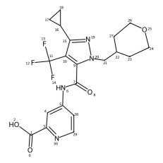 O=C(O)c1cc(NC(=O)c2c(C(F)(F)F)c(C3CC3)nn2CC2CCOCC2)ccn1